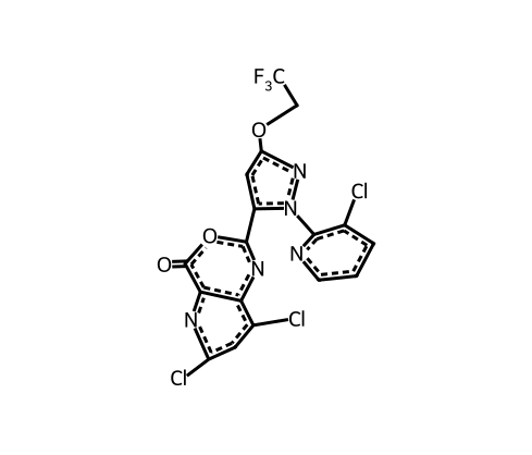 O=c1oc(-c2cc(OCC(F)(F)F)nn2-c2ncccc2Cl)nc2c(Cl)cc(Cl)nc12